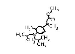 CCOC(=O)C[C@@H](C)c1ccc(N(CC(C)C)CC(C)C)c(N)c1